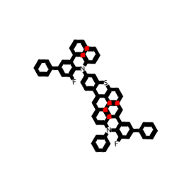 Fc1cc(-c2ccccc2)cc(-c2ccccc2)c1N(c1ccccc1)c1ccc2c(c1)Sc1cccc3c1c-2cc1ccc(N(c2ccccc2)c2c(F)cc(-c4ccccc4)cc2-c2ccccc2)cc13